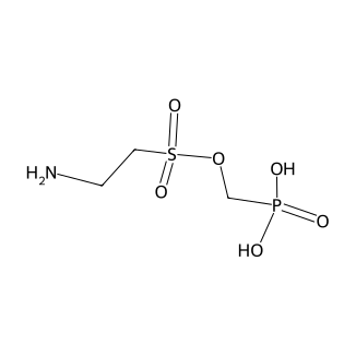 NCCS(=O)(=O)OCP(=O)(O)O